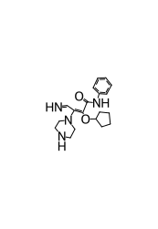 N=C/C(=C(/OC1CCCC1)C(=O)Nc1ccccc1)N1CCNCC1